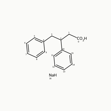 O=C(O)CC(Cc1ccccc1)c1ccccc1.[NaH]